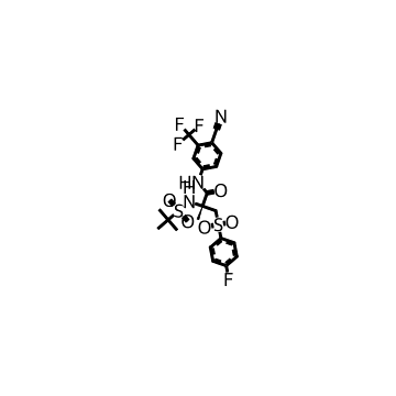 CC(C)(C)S(=O)(=O)N[C@@](C)(CS(=O)(=O)c1ccc(F)cc1)C(=O)Nc1ccc(C#N)c(C(F)(F)F)c1